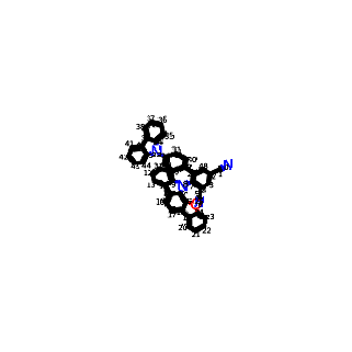 N#Cc1cc(C#N)c(-n2c3ccccc3c3ccc4c5ccccc5oc4c32)c(-c2ccc(-n3c4ccccc4c4ccccc43)cc2)c1